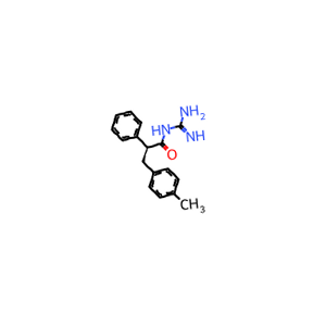 Cc1ccc(C[C@H](C(=O)NC(=N)N)c2ccccc2)cc1